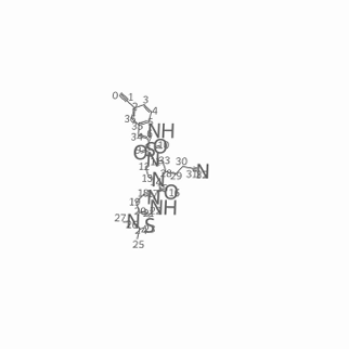 C#Cc1ccc2[nH]c(S(=O)(=O)N3CCN(C(=O)N4CCC5=C(N4)SC(C)N5C)C(CCC#N)C3)cc2c1